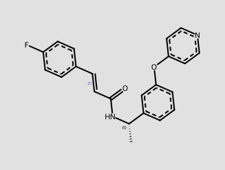 C[C@H](NC(=O)/C=C/c1ccc(F)cc1)c1cccc(Oc2ccncc2)c1